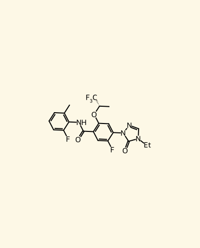 CCn1cnn(-c2cc(O[C@@H](C)C(F)(F)F)c(C(=O)Nc3c(C)cccc3F)cc2F)c1=O